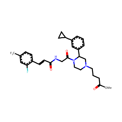 COC(=O)CCCN1CCN(C(=O)CNC(=O)/C=C/c2ccc(C(F)(F)F)cc2F)C(c2cccc(C3CC3)c2)C1